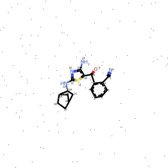 N#Cc1ccccc1C(=O)c1sc(N[C@H]2CC3CCC2C3)nc1N